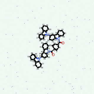 O=C(c1ccc(C(=O)n2c3ccccc3c3cc(-n4c5ccccc5c5ccccc54)ccc32)cc1)n1c2ccccc2c2cc(-n3c4ccccc4c4ccccc43)ccc21